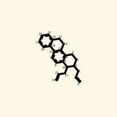 C=CCC1CCc2c(ccc3c2CCc2ccccc2-3)C1CC=C